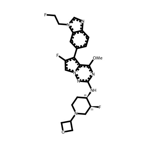 COc1nc(N[C@@H]2CCN(C3COC3)C[C@@H]2F)nn2cc(F)c(-c3ccc4ncn(CCF)c4c3)c12